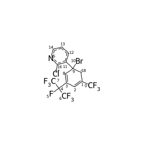 FC(F)(F)C1=CC(C(F)(C(F)(F)F)C(F)(F)F)=CC(Br)(c2cccnc2Cl)[CH]1